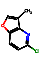 Cc1coc2ccc(Cl)nc12